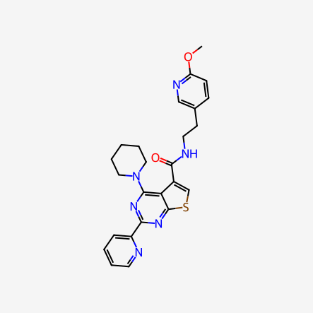 COc1ccc(CCNC(=O)c2csc3nc(-c4ccccn4)nc(N4CCCCC4)c23)cn1